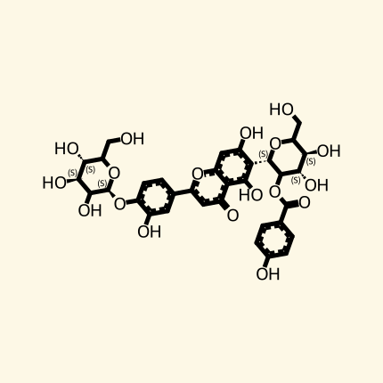 O=C(OC1[C@@H](O)[C@H](O)C(CO)O[C@H]1c1c(O)cc2oc(-c3ccc(O[C@@H]4OC(CO)[C@@H](O)[C@H](O)C4O)c(O)c3)cc(=O)c2c1O)c1ccc(O)cc1